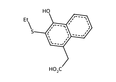 CCSc1cc(CC(=O)O)c2ccccc2c1O